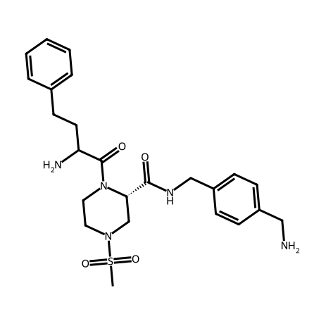 CS(=O)(=O)N1CCN(C(=O)C(N)CCc2ccccc2)[C@H](C(=O)NCc2ccc(CN)cc2)C1